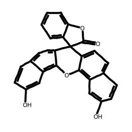 O=C1Oc2ccccc2C12c1ccc3ccc(O)cc3c1Oc1c2ccc2ccc(O)cc12